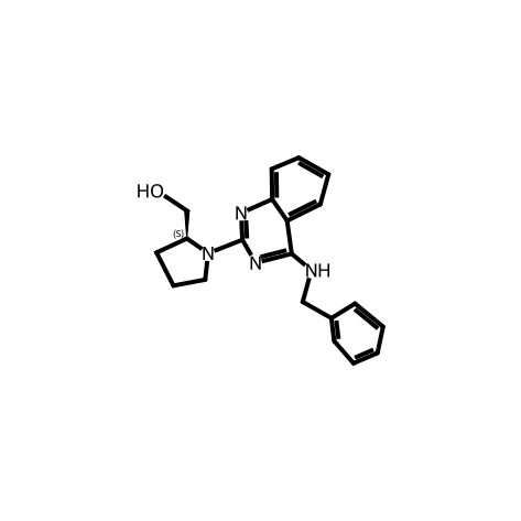 OC[C@@H]1CCCN1c1nc(NCc2ccccc2)c2ccccc2n1